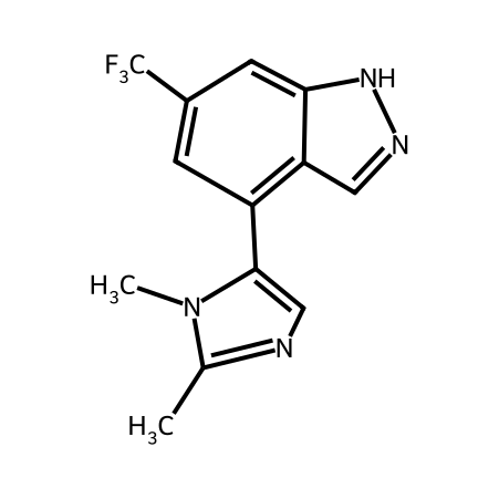 Cc1ncc(-c2cc(C(F)(F)F)cc3[nH]ncc23)n1C